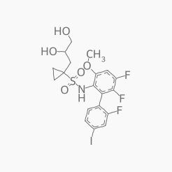 COc1cc(F)c(F)c(-c2ccc(I)cc2F)c1NS(=O)(=O)C1(CC(O)CO)CC1